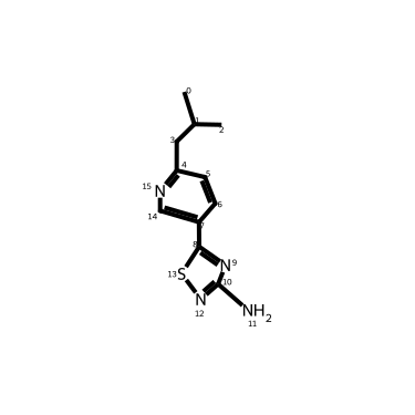 CC(C)Cc1ccc(-c2nc(N)ns2)cn1